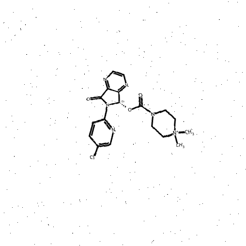 C[N+]1(C)CCN(C(=O)O[C@H]2c3nccnc3C(=O)N2c2ccc(Cl)cn2)CC1